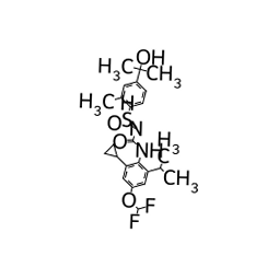 Cc1cc(C(C)(C)O)ccc1/[SH](=O)=N/C(=O)Nc1c(C(C)C)cc(OC(F)F)cc1C1CC1